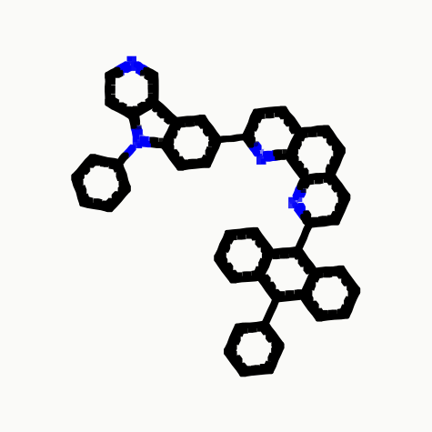 c1ccc(-c2c3ccccc3c(-c3ccc4ccc5ccc(-c6ccc7c(c6)c6cnccc6n7-c6ccccc6)nc5c4n3)c3ccccc23)cc1